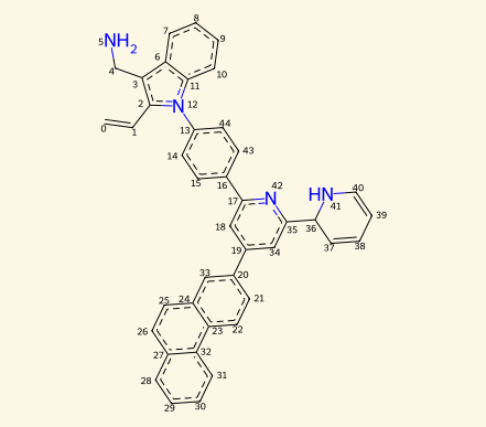 C=Cc1c(CN)c2ccccc2n1-c1ccc(-c2cc(-c3ccc4c(ccc5ccccc54)c3)cc(C3C=CC=CN3)n2)cc1